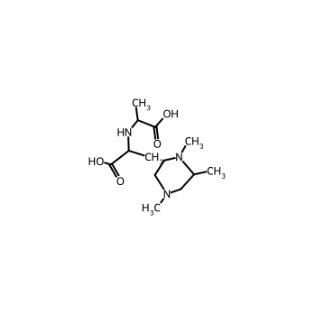 CC(NC(C)C(=O)O)C(=O)O.CC1CN(C)CCN1C